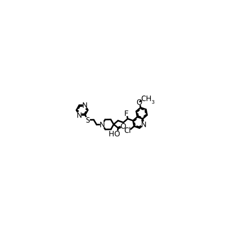 COc1ccc2ncc(Cl)c(C(F)CCC3(C(=O)O)CCN(CCSc4cnccn4)CC3)c2c1